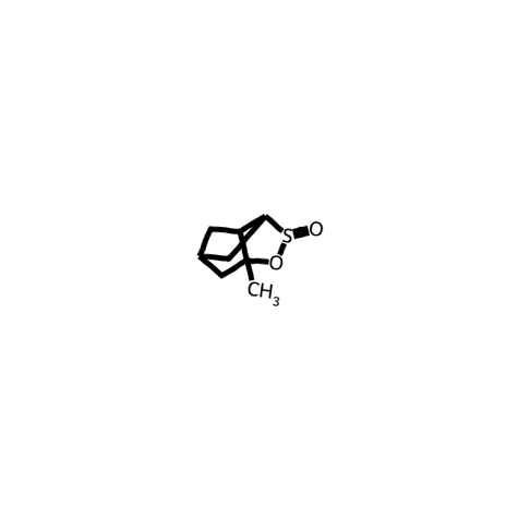 CC12CC3CC(C1C3)S(=O)O2